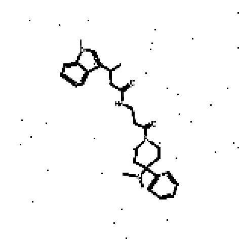 CC(CC(=O)NCCC(=O)N1CCC(c2ccccc2)(N(C)C)CC1)c1c[nH]c2ccccc12